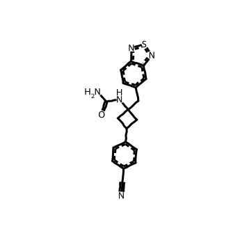 N#Cc1ccc(C2CC(Cc3ccc4nsnc4c3)(NC(N)=O)C2)cc1